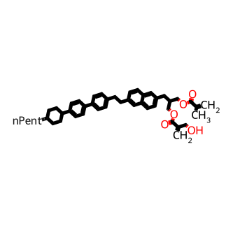 C=C(C)C(=O)OCC(COC(=O)C(=C)CO)Cc1ccc2cc(CCc3ccc(-c4ccc(C5CCC(CCCCC)CC5)cc4)cc3)ccc2c1